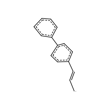 [CH2]/C=C/c1ccc(-c2ccccc2)cc1